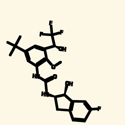 COc1c(NC(=O)N[C@@H]2Cc3ccc(F)cc3[C@@H]2O)cc(C(C)(C)C)cc1[C@@H](O)C(F)(F)F